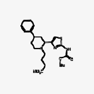 CCOC(=O)CCCN1CCC(c2ccccc2)CC1c1csc(NC(=O)OC(C)(C)C)n1